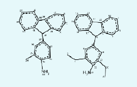 CCc1cc(C2c3ccccc3-c3ccccc32)cc(CC)c1N.Cc1cc(C2c3ccccc3-c3ccccc32)ccc1N